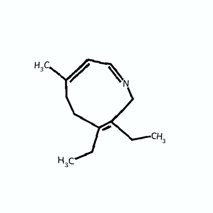 CC/C1=C(\CC)C/N=C\C=C(\C)CC1